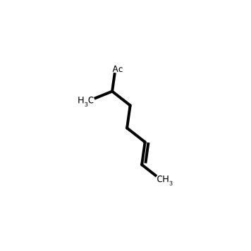 CC=CCCC(C)C(C)=O